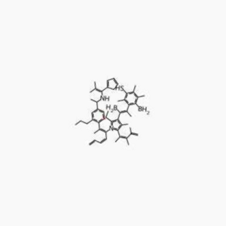 B/C(=C(/C)c1c(B)c(C)c(C)c(S)c1C)c1c(C)c(/C(C)=C(/C)C(=C)C)n(C(/C=C\C=C)=C(/C)c2ccc(C(C)NC(C3=CC=CC3)=C(C)C)cc2CCC)c1CC